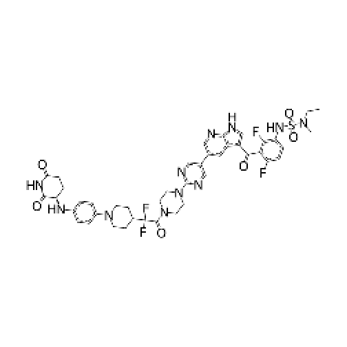 CCN(C)S(=O)(=O)Nc1ccc(F)c(C(=O)c2c[nH]c3ncc(-c4cnc(N5CCN(C(=O)C(F)(F)C6CCN(c7ccc(N[C@@H]8CCC(=O)NC8=O)cc7)CC6)CC5)nc4)cc23)c1F